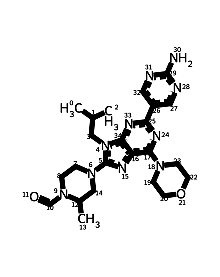 CC(C)Cn1c(N2CCN(C=O)C(C)C2)nc2c(N3CCOCC3)nc(-c3cnc(N)nc3)nc21